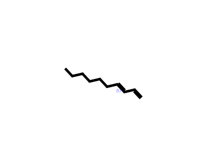 C=C/C=C/CCCCCC